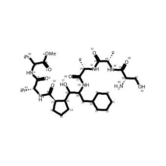 COC(=O)C(NC(=O)[C@H](NC(=O)[C@@H]1CCCC1C(O)C(CC1CCCCC1)NC(=O)[C@H](C)NC(=O)[C@H](C)NC(=O)[C@@H](N)CO)C(C)C)C(C)C